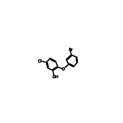 Oc1cc(Cl)ccc1Oc1cccc(Br)c1